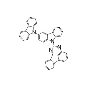 c1ccc2c(c1)-c1cccc3nc(-n4c5ccccc5c5cc(-n6c7ccccc7c7ccccc76)ccc54)nc-2c13